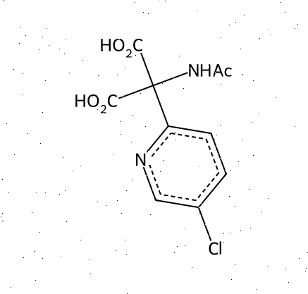 CC(=O)NC(C(=O)O)(C(=O)O)c1ccc(Cl)cn1